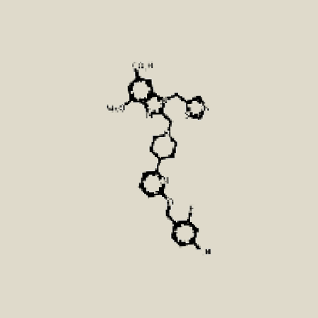 COc1cc(C(=O)O)cc2c1nc(CN1CCC(c3cccc(OCc4ccc(C#N)cc4F)n3)CC1)n2Cc1cncs1